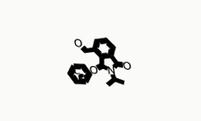 CC(C)N1C(=O)c2cccc(C=O)c2C1=O.c1cc2ccc1CO2